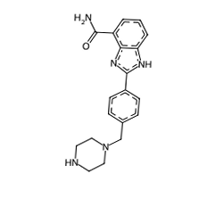 NC(=O)c1cccc2[nH]c(-c3ccc(CN4CCNCC4)cc3)nc12